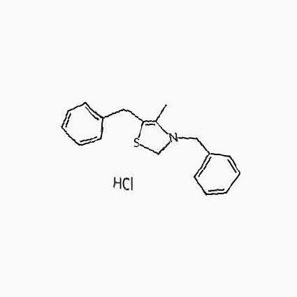 CC1=C(Cc2ccccc2)SCN1Cc1ccccc1.Cl